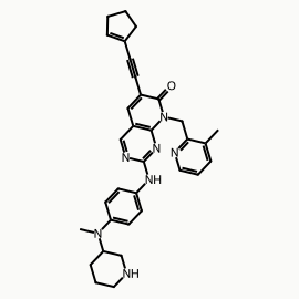 Cc1cccnc1Cn1c(=O)c(C#CC2=CCCC2)cc2cnc(Nc3ccc(N(C)C4CCCNC4)cc3)nc21